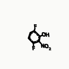 O=[N+]([O-])c1c(F)ccc(F)c1O